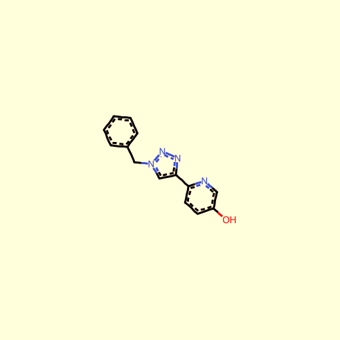 Oc1ccc(-c2cn(Cc3ccccc3)nn2)nc1